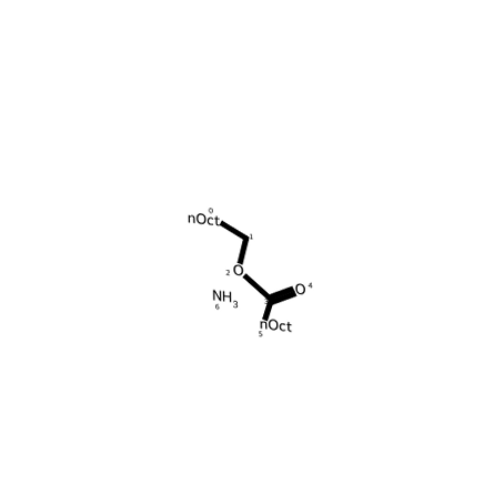 CCCCCCCCCOC(=O)CCCCCCCC.N